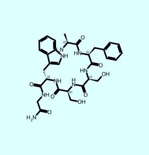 C[C@H](N)C(=O)N[C@@H](Cc1ccccc1)C(=O)N[C@@H](CO)C(=O)N[C@@H](CO)C(=O)N[C@@H](Cc1c[nH]c2ccccc12)C(=O)NCC(N)=O